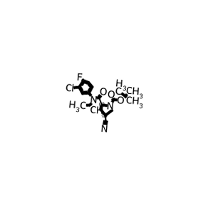 CC(C)N(C(=O)[C@@H]1C[C@H](C#N)CN1C(=O)OC(C)(C)C)c1ccc(F)c(Cl)c1